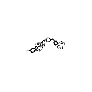 Oc1ccc(CC2CCN(Cc3nnc(-c4cc5cc(F)ccc5[nH]4)[nH]3)CC2)cc1O